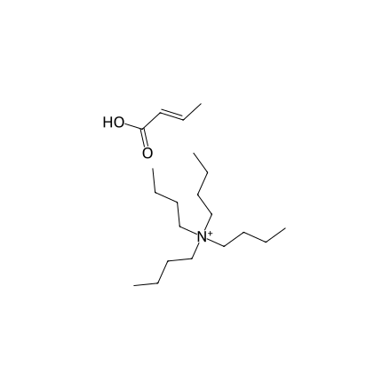 C/C=C/C(=O)O.CCCC[N+](CCCC)(CCCC)CCCC